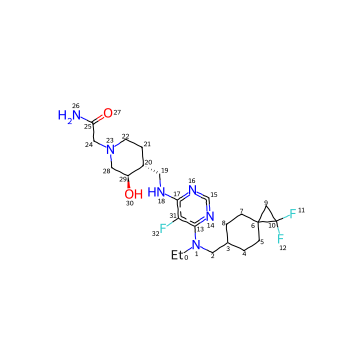 CCN(CC1CCC2(CC1)CC2(F)F)c1ncnc(NC[C@H]2CCN(CC(N)=O)C[C@@H]2O)c1F